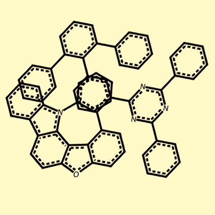 c1ccc(-c2nc(-c3ccccc3)nc(-c3cc(-c4c(-c5ccccc5)cccc4-c4ccccc4)ccc3-c3cccc4oc5ccc6c7ccccc7n(-c7ccccc7)c6c5c34)n2)cc1